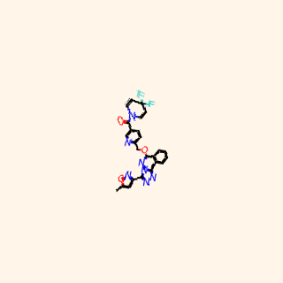 Cc1cc(-c2nnc3c4ccccc4c(OCc4ccc(C(=O)N5CCC(F)(F)CC5)cn4)nn23)no1